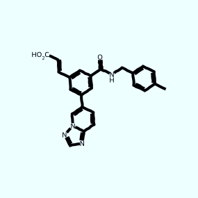 Cc1ccc(CNC(=O)c2cc(/C=C/C(=O)O)cc(-c3ccc4ncnn4c3)c2)cc1